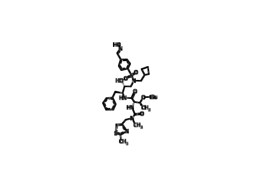 Cc1nc(CN(C)C(=O)N[C@H](C(=O)N[C@@H](Cc2ccccc2)[C@H](O)CN(CC2CCC2)S(=O)(=O)c2ccc(C=NO)cc2)[C@H](C)OC(C)(C)C)cs1